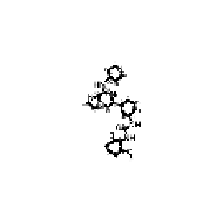 COc1cccc(C)c1NC(=O)Nc1cccc(-c2cn3ccnc3c(Nc3ccncc3)n2)c1